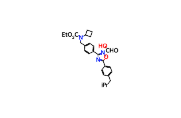 CCOC(=O)N(Cc1ccc(-c2noc(-c3ccc(CC(C)C)cc3)n2)cc1)C1CCC1.O=CO